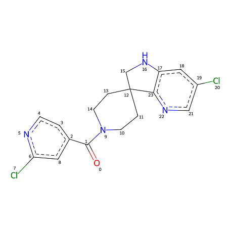 O=C(c1ccnc(Cl)c1)N1CCC2(CC1)CNc1cc(Cl)cnc12